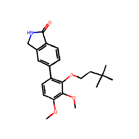 COc1ccc(-c2ccc3c(c2)CNC3=O)c(OCCC(C)(C)C)c1OC